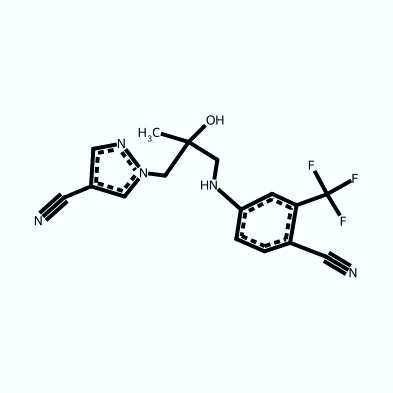 CC(O)(CNc1ccc(C#N)c(C(F)(F)F)c1)Cn1cc(C#N)cn1